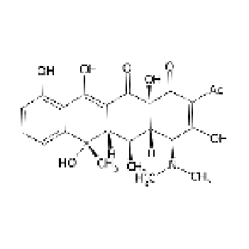 CC(=O)C1=C(O)[C@@H](N(C)C)[C@@H]2[C@@H](C)[C@H]3C(=C(O)c4c(O)cccc4[C@@]3(C)O)C(=O)[C@]2(O)C1=O